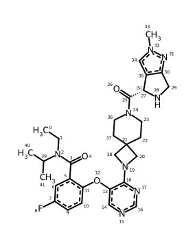 CCN(C(=O)c1cc(F)ccc1Oc1cncnc1N1CC2(CCN(C(=O)[C@H]3NCc4nn(C)cc43)CC2)C1)C(C)C